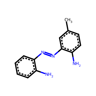 Cc1ccc(N)c(N=Nc2ccccc2N)c1